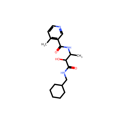 Cc1ccncc1C(=O)NC(C)C(O)C(=O)NCC1CCCCC1